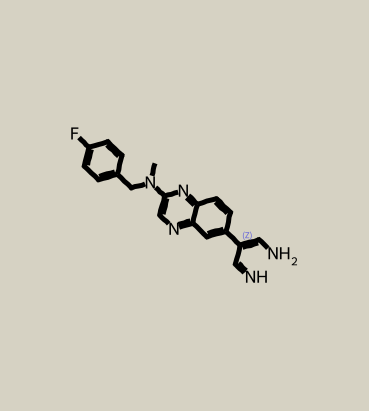 CN(Cc1ccc(F)cc1)c1cnc2cc(/C(C=N)=C/N)ccc2n1